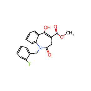 COC(=O)C1=C(O)c2ccccc2N(Cc2ccccc2F)C(=O)C1